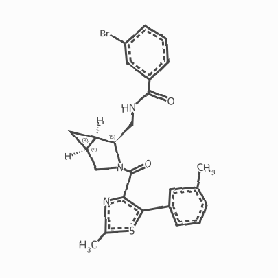 Cc1cccc(-c2sc(C)nc2C(=O)N2C[C@H]3C[C@H]3[C@H]2CNC(=O)c2cccc(Br)c2)c1